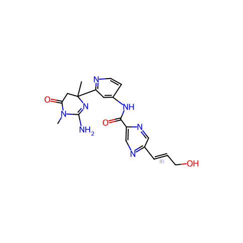 CN1C(=O)CC(C)(c2cc(NC(=O)c3cnc(/C=C/CO)cn3)ccn2)N=C1N